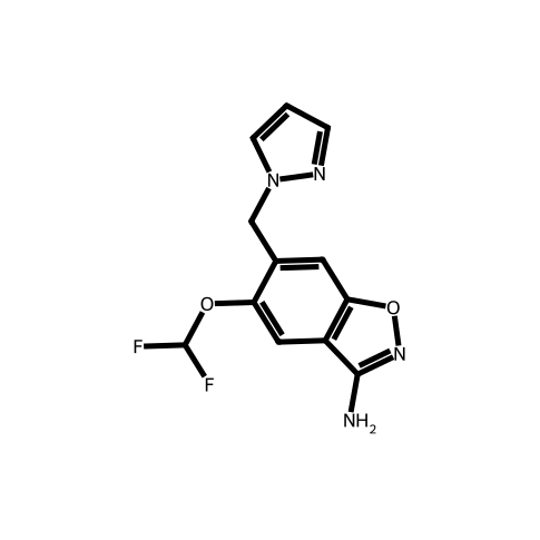 Nc1noc2cc(Cn3cccn3)c(OC(F)F)cc12